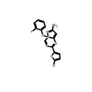 NC1=N[N+]2(Oc3ccccc3F)C=NC(c3ccc(Cl)o3)=NC2=C1